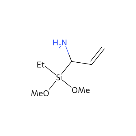 C=CC(N)[Si](CC)(OC)OC